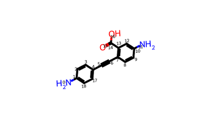 Nc1ccc(C#Cc2ccc(N)cc2C(=O)O)cc1